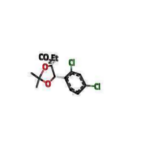 CCOC(=O)[C@H]1OC(C)(C)O[C@H]1c1ccc(Cl)cc1Cl